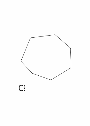 C1CCCCCC1.[C]